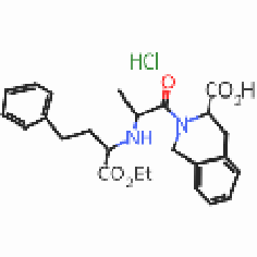 CCOC(=O)C(CCc1ccccc1)NC(C)C(=O)N1Cc2ccccc2CC1C(=O)O.Cl